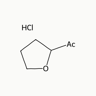 CC(=O)C1CCCO1.Cl